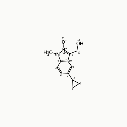 Cn1c2ccc(C3CC3)cc2c(CO)[n+]1[O-]